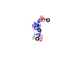 COc1ccc(F)cc1C(=O)NCc1ccc(-c2nc([C@@H]3CCN(C(=O)OCc4ccccc4)C3)n3ncnc(N)c23)cc1